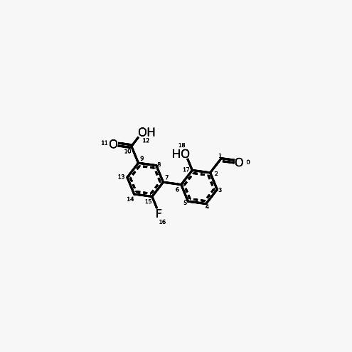 O=Cc1cccc(-c2cc(C(=O)O)ccc2F)c1O